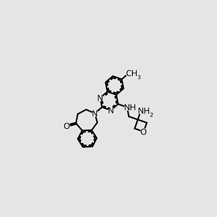 Cc1ccc2nc(N3CCC(=O)c4ccccc4C3)nc(NCC3(N)COC3)c2c1